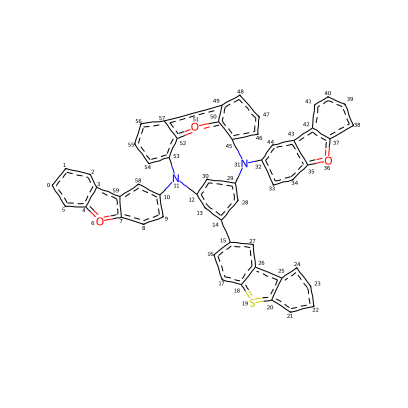 c1ccc2c(c1)oc1ccc(N3c4cc(-c5ccc6sc7ccccc7c6c5)cc(c4)N(c4ccc5oc6ccccc6c5c4)c4cccc5c4oc4c3cccc45)cc12